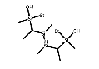 CC[Si](C)(O)C(C)[SiH](C)[SiH](C)C(C)[Si](C)(O)CC